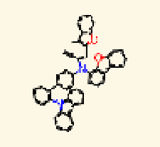 C#C/C(=C\c1oc2ccccc2c1C)N(c1ccc(-c2ccccc2-n2c3ccccc3c3ccccc32)cc1)c1cccc2c1oc1ccccc12